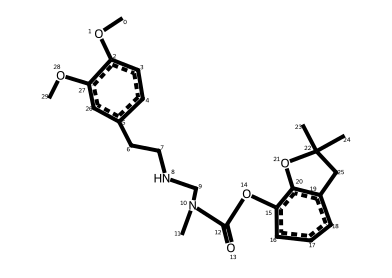 COc1ccc(CCNCN(C)C(=O)Oc2cccc3c2OC(C)(C)C3)cc1OC